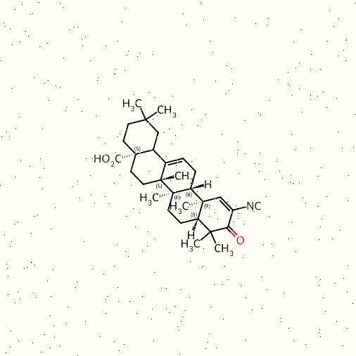 [C-]#[N+]C1=C[C@]2(C)[C@H]3CC=C4C5CC(C)(C)CC[C@]5(C(=O)O)CC[C@@]4(C)[C@]3(C)CC[C@H]2C(C)(C)C1=O